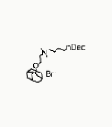 CCCCCCCCCCCCCC[N+](C)(C)CCOC12CC3CC(CC(C3)C1)C2.[Br-]